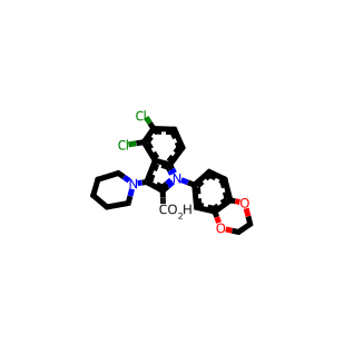 O=C(O)c1c(N2CCCCC2)c2c(Cl)c(Cl)ccc2n1-c1ccc2c(c1)OCCO2